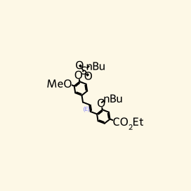 CCCCOc1cc(C(=O)OCC)ccc1/C=C/Cc1ccc(OS(=O)(=O)CCCC)c(OC)c1